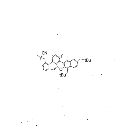 Cc1c2c(c(CC(C)(C)C)c3ccc(CC(C)(C)C)cc13)Oc1cc3cccc(CC(C)(C)C#N)c3c3cc[n+](C)c-2c13